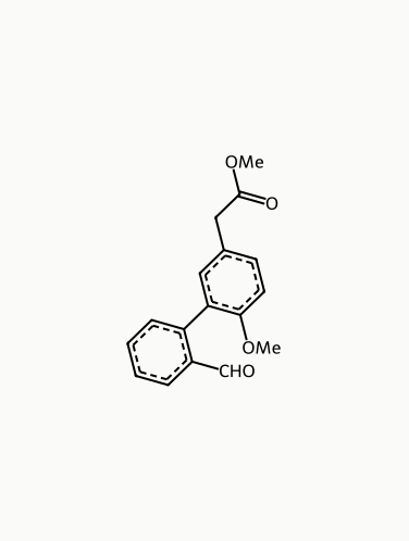 COC(=O)Cc1ccc(OC)c(-c2ccccc2C=O)c1